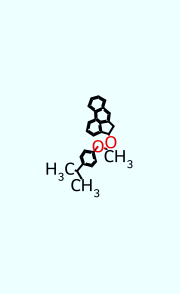 CCC(C)c1ccc(OC(C)OC2Cc3cc4ccccc4c4cccc2c34)cc1